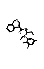 CCC(NC(=O)c1cncc2ccccc12)N(CC)c1cc(C)cc(F)c1C